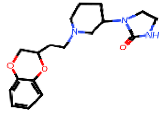 O=C1NCCN1C1CCCN(CCC2COc3ccccc3O2)C1